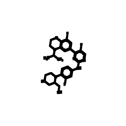 CC(C)N1CCOc2c(F)cc(-c3nc(Nc4ccc(N5CCNCC5CO)c(F)c4)ncc3F)cc21